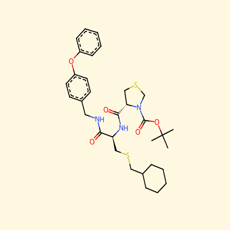 CC(C)(C)OC(=O)N1CSC[C@H]1C(=O)N[C@@H](CSCC1CCCCC1)C(=O)NCc1ccc(Oc2ccccc2)cc1